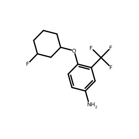 Nc1ccc(OC2CCCC(F)C2)c(C(F)(F)F)c1